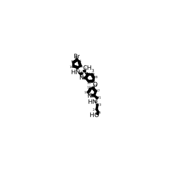 Cn1c(Nc2ccc(Br)cc2)nc2cc(Oc3ccnc(CNCCCO)c3)ccc21